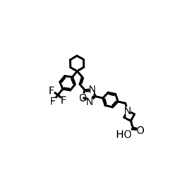 O=C(O)C1CN(Cc2ccc(-c3noc(C=CC4(c5ccc(C(F)(F)F)cc5)CCCCC4)n3)cc2)C1